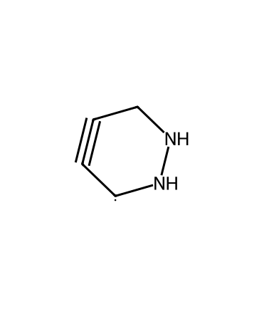 C1#CCNN[CH]1